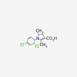 CC1=C(C(=O)O)CC(C)N1C1C=CC(Cl)=CC1Cl